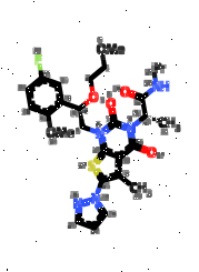 COCCO[C@@H](Cn1c(=O)n([C@@H](C)C(=O)NC(C)C)c(=O)c2c(C)c(-n3cccn3)sc21)c1cc(F)ccc1OC